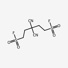 N#CC(C#N)(CCS(=O)(=O)F)CCS(=O)(=O)F